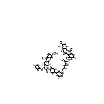 N#Cc1ccc(NC2CCC(N(C(=O)NCc3ccccc3)c3ccc(-c4ccnc(OCCCNC(=O)COc5cccc6c5C(=O)N(C5CCC(=O)NC5=O)C6=O)c4)cc3)CC2)nc1